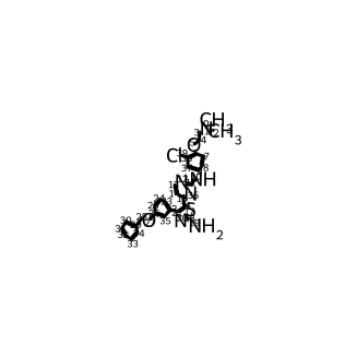 CN(C)CCOc1ccc(Nc2nccc(-c3sc(N)nc3-c3cccc(OCc4ccccc4)c3)n2)cc1Cl